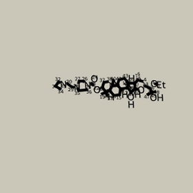 CCO[C@@H]([C@H]1C[C@@H](C)[C@H]2[C@H](O1)[C@H](O)[C@@]1(C)[C@@H]3CC[C@H]4C(C)(C)[C@@H](OC(=O)N5CCN(CCN6CCC6)CC5)CC[C@@]45C[C@@]35CC[C@]21C)C(C)(C)O